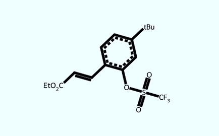 CCOC(=O)/C=C/c1ccc(C(C)(C)C)cc1OS(=O)(=O)C(F)(F)F